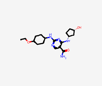 CCOC1CCC(Nc2ncc(C(N)=O)c(N[C@@H]3CC[C@H](O)C3)n2)CC1